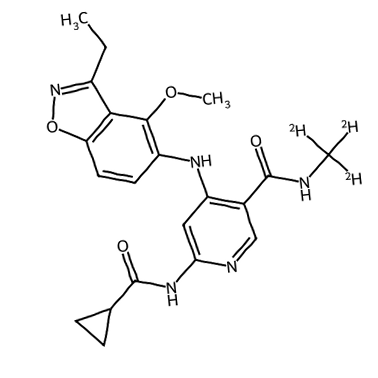 [2H]C([2H])([2H])NC(=O)c1cnc(NC(=O)C2CC2)cc1Nc1ccc2onc(CC)c2c1OC